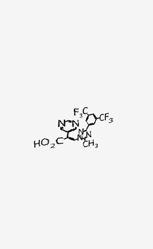 Cc1nc(-c2cc(C(F)(F)F)cc(C(F)(F)F)c2)nn1/C=C(/C(=O)O)c1cncnc1